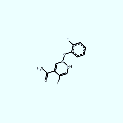 NC(=O)C1=CN(Oc2ccccc2F)NC=C1F